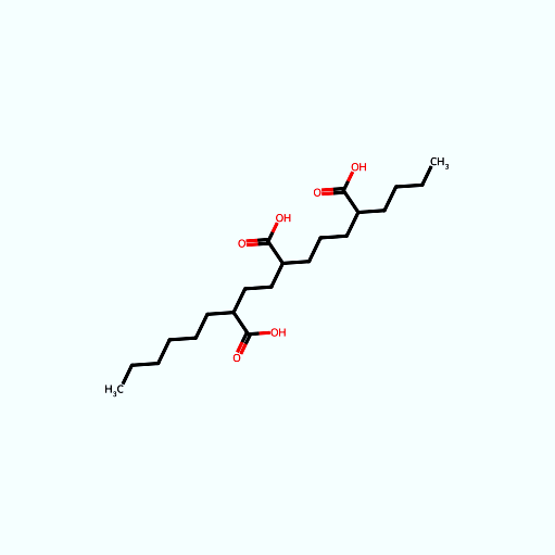 CCCCCCC(CCC(CCCC(CCCC)C(=O)O)C(=O)O)C(=O)O